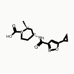 C[C@H]1C[C@H](NC(=O)c2cc(C3CC3)on2)CCN1C(=O)O